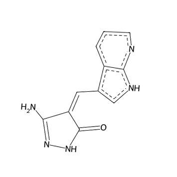 NC1=NNC(=O)C1=Cc1c[nH]c2ncccc12